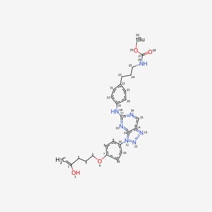 C=C(O)CCCOc1ccc(-n2nnc3cnc(Nc4ccc(CCCNC(=O)OC(C)(C)C)cc4)nc32)cc1